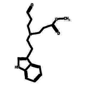 COC(=O)CCN(CCC=O)CCc1c[nH]c2ccccc12